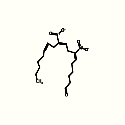 CCCCC/C=C\C/C(=C\C/C(=C\CCCC[C]=O)[N+](=O)[O-])[N+](=O)[O-]